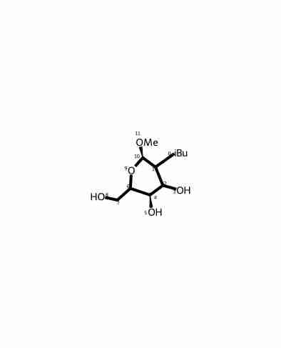 CCC(C)C1C(O)[C@@H](O)C(CO)O[C@H]1OC